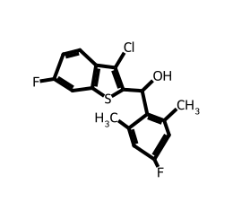 Cc1cc(F)cc(C)c1C(O)c1sc2cc(F)ccc2c1Cl